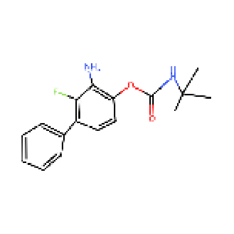 CC(C)(C)NC(=O)Oc1ccc(-c2ccccc2)c(F)c1N